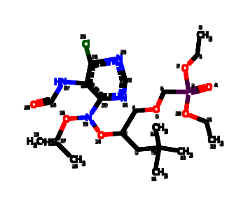 CCOP(=O)(COCC(CC(C)(C)C)ON(O[SiH](C)C)c1ncnc(Cl)c1NC=O)OCC